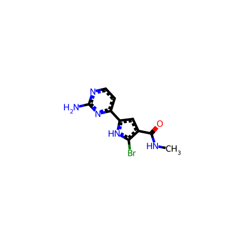 CNC(=O)c1cc(-c2ccnc(N)n2)[nH]c1Br